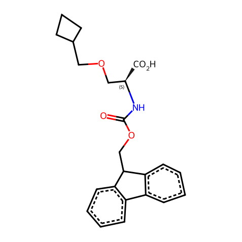 O=C(N[C@@H](COCC1CCC1)C(=O)O)OCC1c2ccccc2-c2ccccc21